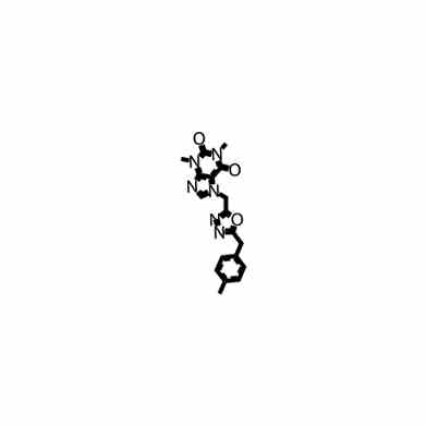 Cc1ccc(Cc2nnc(Cn3cnc4c3c(=O)n(C)c(=O)n4C)o2)cc1